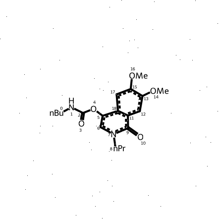 CCCCNC(=O)Oc1cn(CCC)c(=O)c2cc(OC)c(OC)cc12